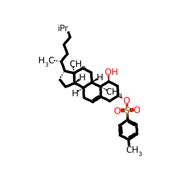 Cc1ccc(S(=O)(=O)O[C@@H]2CC3=CC[C@H]4[C@@H]5CC[C@H]([C@H](C)CCCC(C)C)[C@@]5(C)CC[C@@H]4[C@@]3(C)[C@@H](O)C2)cc1